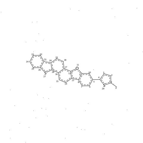 Cc1ccc(-c2ccc3c(c2)oc2c3ccc3c2ccc2c4ccccc4sc23)s1